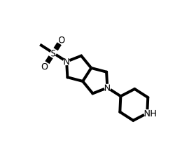 CS(=O)(=O)N1CC2CN(C3CCNCC3)CC2C1